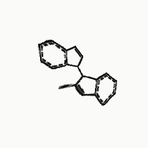 CC1=Cc2ccccc2C1C1C=Cc2ccccc21